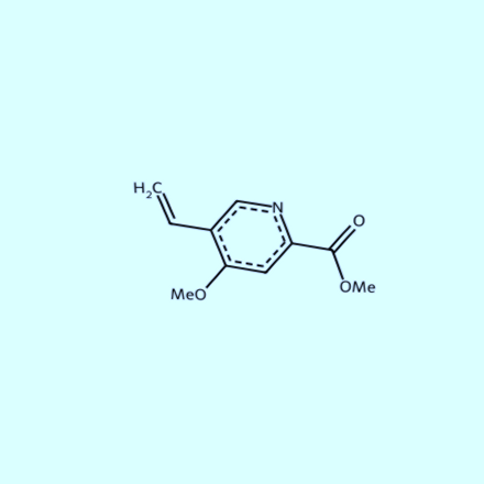 C=Cc1cnc(C(=O)OC)cc1OC